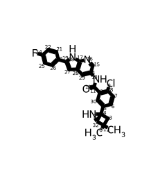 CC1(C)CC2(c3ccc(Cl)c(C(=O)Nc4cnc5[nH]c(-c6ccc(F)cc6)cc5c4)c3)NC12